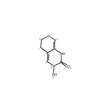 O=C1NC2=NOCCC2=CN1O